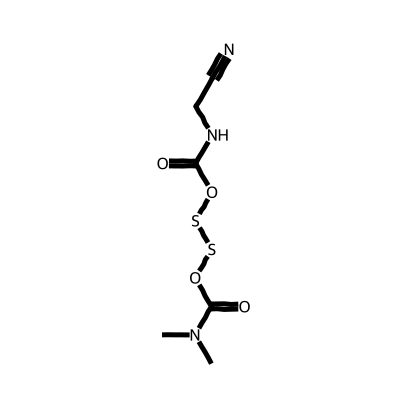 CN(C)C(=O)OSSOC(=O)NCC#N